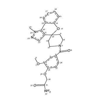 COc1cc(C(=O)N2CCC3(CC2)Oc2ccccc2-c2c3cnn2C)ccc1OCC(N)=O